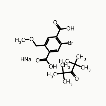 CC(C)(C)C(=O)C(C)(C)C.COCc1cc(C(=O)O)c(Br)cc1C(=O)O.[NaH]